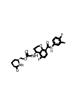 Cc1cc(NC(=O)c2ccc(F)c3c2OCC[C@@H]3NC(=O)OC[C@H]2CCCC(=O)N2)ccc1F